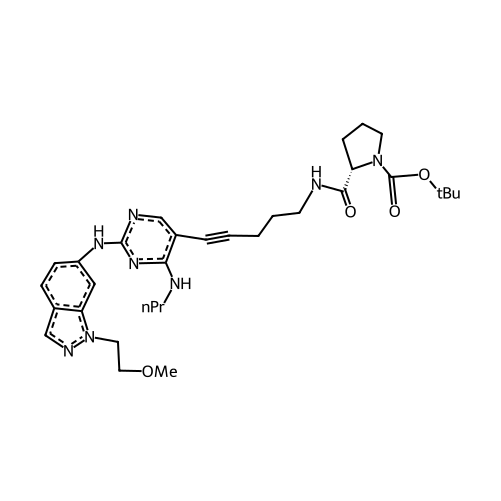 CCCNc1nc(Nc2ccc3cnn(CCOC)c3c2)ncc1C#CCCCNC(=O)[C@@H]1CCCN1C(=O)OC(C)(C)C